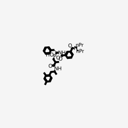 CCCN(CCC)C(=O)c1cccc(C(=O)N[C@@H](Cc2ccccc2)P(=O)(O)CC(C)C(=O)NC(C)Cc2ccc(C)cc2C)c1